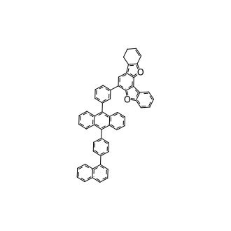 C1=Cc2oc3c(cc(-c4cccc(-c5c6ccccc6c(-c6ccc(-c7cccc8ccccc78)cc6)c6ccccc56)c4)c4oc5ccccc5c43)c2CC1